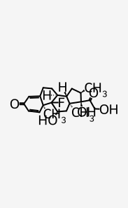 C[C@@H]1C[C@H]2[C@@H]3CCC4=CC(=O)C=C[C@]4(C)C3(F)[C@H](O)C[C@]2(C)[C@@]1(O)C(=O)CO